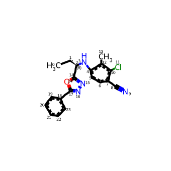 C[CH][C@@H](Nc1ccc(C#N)c(Cl)c1C)c1nnc(-c2ccccc2)o1